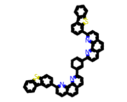 C1=C(c2ccc3ccc4ccc(-c5cccc6c5sc5ccccc56)nc4c3n2)C=C(c2ccc3ccc4ccc(-c5ccc6sc7ccccc7c6c5)nc4c3n2)CC1